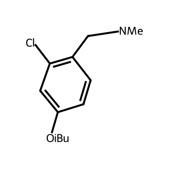 CNCc1ccc(OCC(C)C)cc1Cl